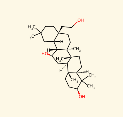 CC1(C)CC[C@]2(CCO)CC[C@]3(C)[C@H]([C@H](O)C[C@@H]4[C@@]5(C)CC[C@H](O)C(C)(C)[C@@H]5CC[C@]43C)[C@@H]2C1